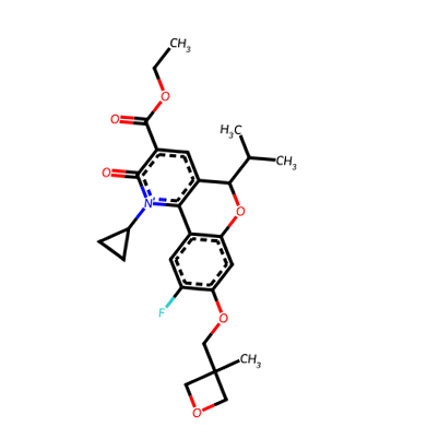 CCOC(=O)c1cc2c(n(C3CC3)c1=O)-c1cc(F)c(OCC3(C)COC3)cc1OC2C(C)C